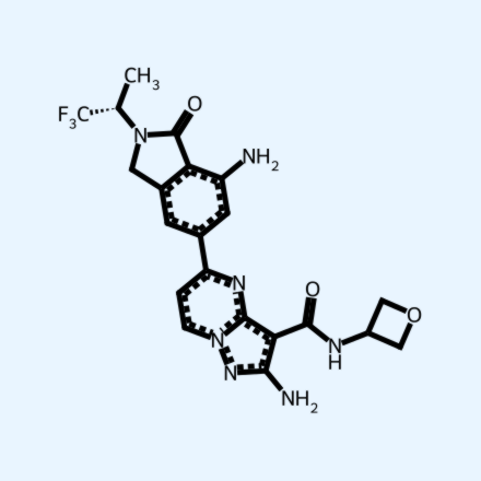 C[C@H](N1Cc2cc(-c3ccn4nc(N)c(C(=O)NC5COC5)c4n3)cc(N)c2C1=O)C(F)(F)F